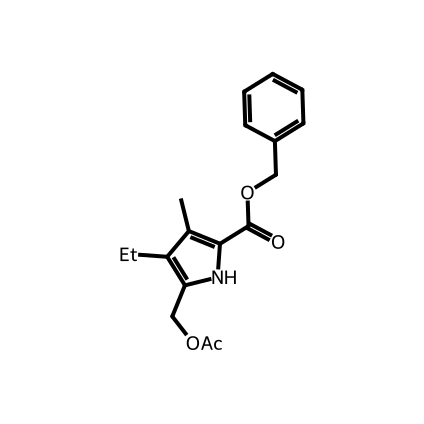 CCc1c(COC(C)=O)[nH]c(C(=O)OCc2ccccc2)c1C